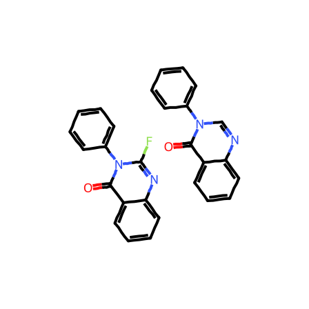 O=c1c2ccccc2nc(F)n1-c1ccccc1.O=c1c2ccccc2ncn1-c1ccccc1